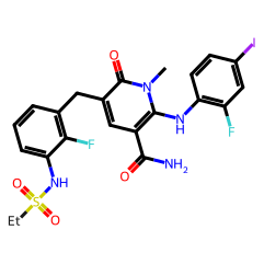 CCS(=O)(=O)Nc1cccc(Cc2cc(C(N)=O)c(Nc3ccc(I)cc3F)n(C)c2=O)c1F